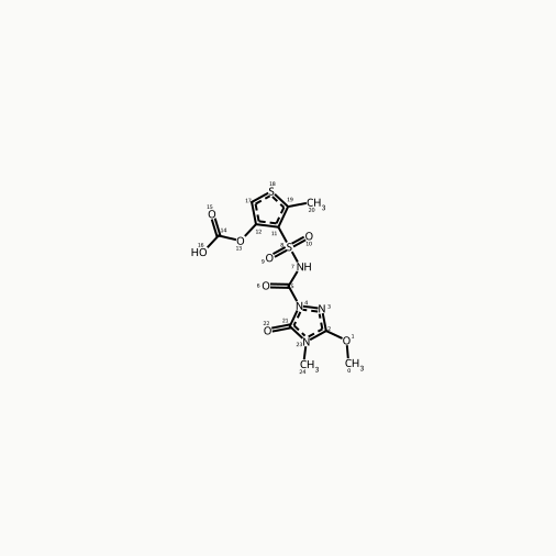 COc1nn(C(=O)NS(=O)(=O)c2c(OC(=O)O)csc2C)c(=O)n1C